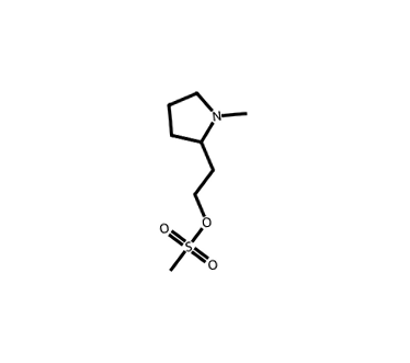 CN1CCCC1CCOS(C)(=O)=O